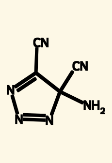 N#CC1=NN=NC1(N)C#N